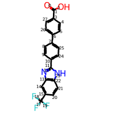 O=C(O)c1ccc(-c2ccc(-c3nc4cc(C(F)(F)F)ccc4[nH]3)cc2)cc1